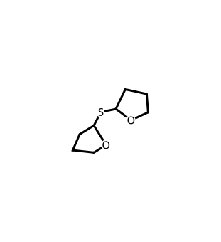 C1COC(SC2CCCO2)C1